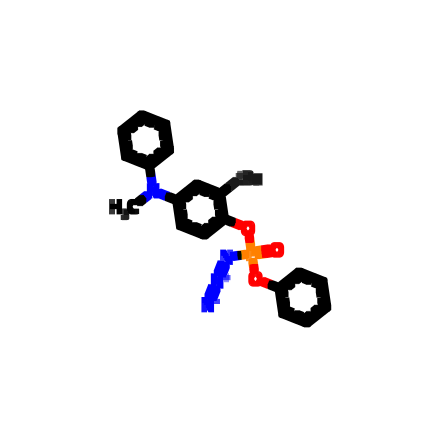 CN(c1ccccc1)c1ccc(OP(=O)(N=[N+]=[N-])Oc2ccccc2)c(C(C)(C)C)c1